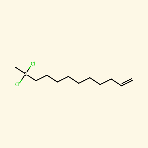 C=CCCCCCCCC[Si](C)(Cl)Cl